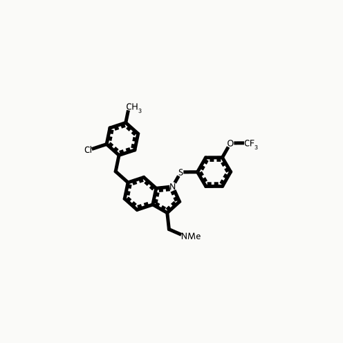 CNCc1cn(Sc2cccc(OC(F)(F)F)c2)c2cc(Cc3ccc(C)cc3Cl)ccc12